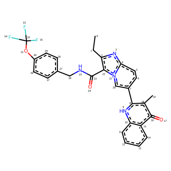 CCc1nc2ccc(-c3[nH]c4ccccc4c(=O)c3C)cn2c1C(=O)NCc1ccc(OC(F)(F)F)cc1